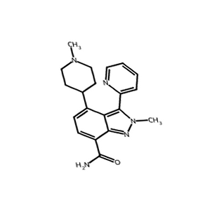 CN1CCC(c2ccc(C(N)=O)c3nn(C)c(-c4ccccn4)c23)CC1